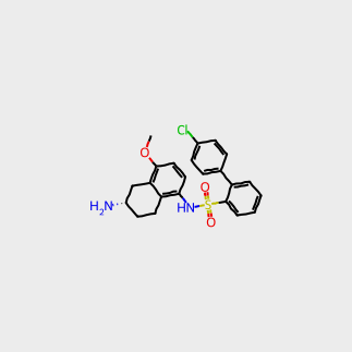 COc1ccc(NS(=O)(=O)c2ccccc2-c2ccc(Cl)cc2)c2c1C[C@@H](N)CC2